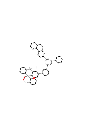 CC1(C)c2ccccc2C2(c3ccccc3Sc3ccccc32)c2ccc(-c3cccc(-c4cc(-c5ccccc5)nc(-c5ccc6c(ccc7ccccc76)c5)n4)c3)cc21